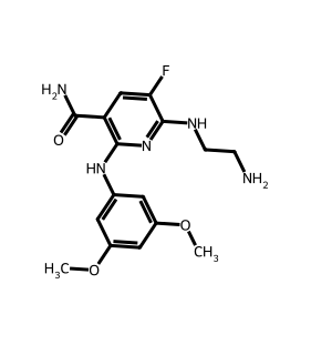 COc1cc(Nc2nc(NCCN)c(F)cc2C(N)=O)cc(OC)c1